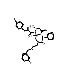 CN1CC(=O)N2[C@@H](c3ccccc3)C(=O)N(CCOCc3cccc(F)c3)C[C@@H]2N1C(=O)NCc1ccc(F)cc1